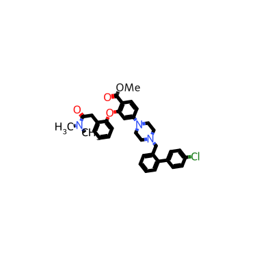 COC(=O)c1ccc(N2CCN(Cc3ccccc3-c3ccc(Cl)cc3)CC2)cc1Oc1ccccc1CC(=O)N(C)C